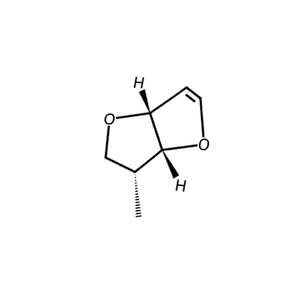 C[C@@H]1CO[C@@H]2C=CO[C@H]12